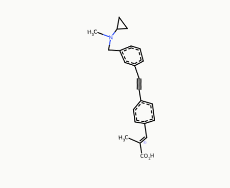 C/C(=C\c1ccc(C#Cc2cccc(CN(C)C3CC3)c2)cc1)C(=O)O